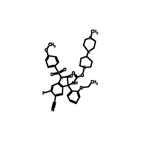 CCOc1ccccc1C1(NC(=O)ON2CCC(N3CCN(C)CC3)CC2)C(=O)N(S(=O)(=O)c2ccc(OC)cc2)c2cc(F)c(C#N)cc21